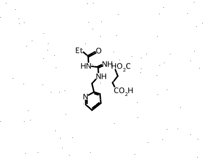 CCC(=O)NC(=N)NCc1ccccn1.O=C(O)CCC(=O)O